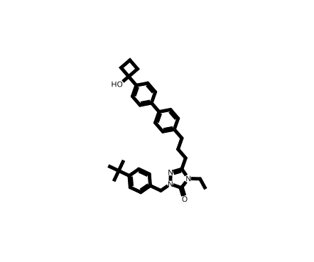 CCn1c(CCCc2ccc(-c3ccc(C4(O)CCC4)cc3)cc2)nn(Cc2ccc(C(C)(C)C)cc2)c1=O